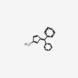 CC1=[C]C(=C(c2ccccc2)c2ccccc2)C=C1